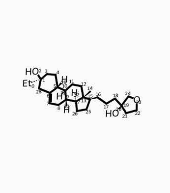 CC[C@]1(O)CC[C@H]2C(=CC[C@@H]3[C@@H]2CC[C@]2(C)[C@@H](CCC[C@@]4(O)CCOC4)CC[C@@H]32)C1